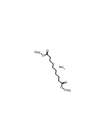 N.O=COC(=O)CCCCCCCCC(=O)OC=O